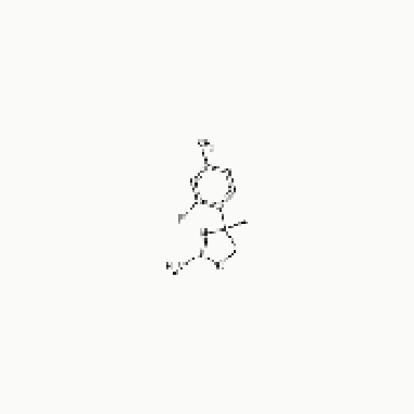 C[C@@]1(c2ccc(C(F)(F)F)cc2F)COC(N)=N1